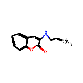 C=CCNc1cc2ccccc2oc1=O